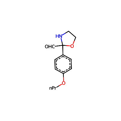 CCCOc1ccc(C2(C=O)NCCO2)cc1